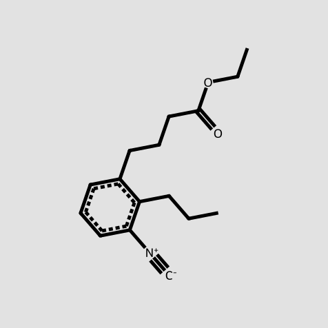 [C-]#[N+]c1cccc(CCCC(=O)OCC)c1CCC